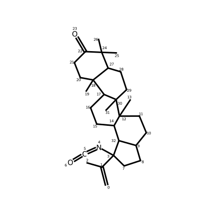 C=C(C)C1(N=C=O)CCC2CCC3(C)C(CCC4C5(C)CCC(=O)C(C)(C)C5CCC43C)C21